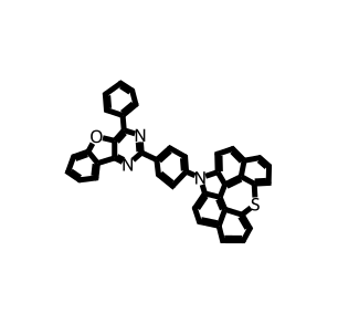 c1ccc(-c2nc(-c3ccc(-n4c5ccc6cccc7sc8cccc9ccc4c(c98)c5c67)cc3)nc3c2oc2ccccc23)cc1